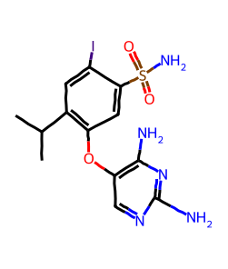 CC(C)c1cc(I)c(S(N)(=O)=O)cc1Oc1cnc(N)nc1N